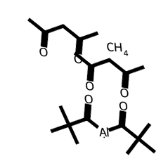 C.CC(=O)CC(C)=O.CC(=O)CC(C)=O.CC(C)(C)[C](=O)[Al][C](=O)C(C)(C)C